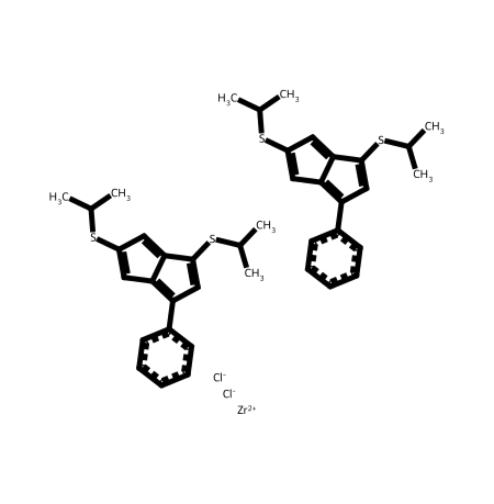 CC(C)SC1=CC2=C(c3ccccc3)C=C(SC(C)C)C2=C1.CC(C)SC1=CC2=C(c3ccccc3)C=C(SC(C)C)C2=C1.[Cl-].[Cl-].[Zr+2]